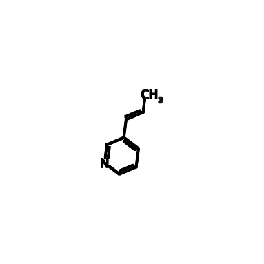 CC=Cc1cccnc1